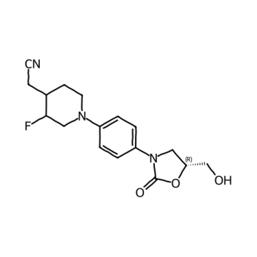 N#CCC1CCN(c2ccc(N3C[C@H](CO)OC3=O)cc2)CC1F